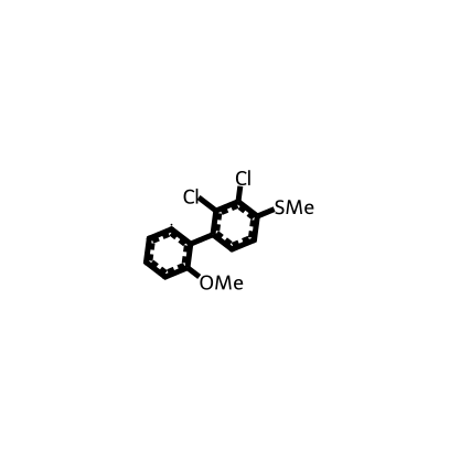 COc1ccc[c]c1-c1ccc(SC)c(Cl)c1Cl